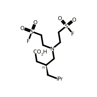 CC(C)C[C@@H](CC(=O)O)CN(CCS(=O)(=O)F)CCS(=O)(=O)F